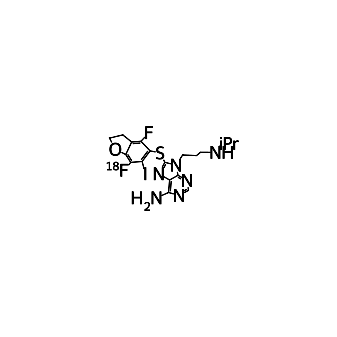 CC(C)NCCCn1c(Sc2c(F)c3c(c([18F])c2I)OCC3)nc2c(N)ncnc21